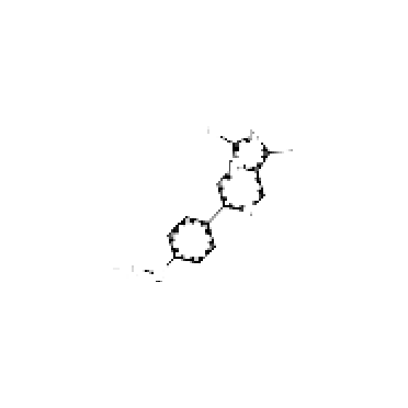 Cc1nc(C(F)(F)F)n2cc(-c3ccc(OC(F)(F)F)cc3)ncc12